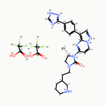 CC(C)[C@H]1CN(CCC2CCCNC2)C(=O)N1c1ccn2ncc(-c3ccc(-c4nc[nH]n4)cc3)c2n1.O=C(O)C(F)(F)F.O=C(O)C(F)(F)F